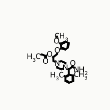 CCC(=O)OC(COc1ccccc1OC)CN1CCN(C(C(N)=O)c2c(C)cccc2C)CC1